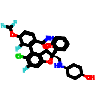 NC(=O)C1=C(c2c(Cl)c(F)cc3c2[C@H](O)[C@@](CN[C@H]2CC[C@H](O)CC2)(c2ccccc2)O3)C(F)C(OC(F)F)C=C1